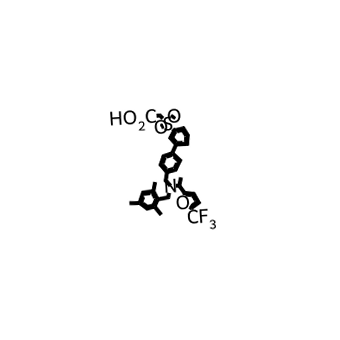 Cc1cc(C)c(CN(Cc2ccc(-c3cccc(S(=O)(=O)CC(=O)O)c3)cc2)C(C)c2ccc(C(F)(F)F)o2)c(C)c1